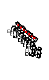 CCN1CCC(N2CCCC2)C2=C1N(CC)C1=C(C2N2CCCC2)C(N2CCCC2)C2=C(N1CC)N(CC)C1=C(C2N2CCCC2)C(N2CCCC2)C2=C(N1CC)N(CC)C1=C(C(N3CCCC3)C3=C(N1CC)N(CC)C1(CC3N3CCCC3)CC3C4=C(N(CC)C5=C6C(CCN5CC)N5CCCC7=C5N(C5=C(CCCN53)C7)C64)N1CC)C2N1CCCC1